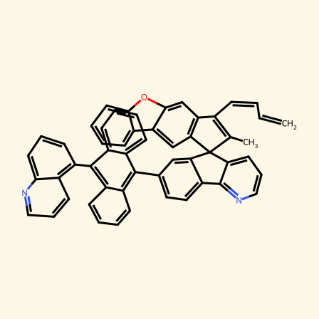 C=C/C=C\C1=C(C)C2(c3cc4c(cc31)oc1ccccc14)c1cc(-c3c4ccccc4c(-c4cccc5ncccc45)c4ccccc34)ccc1-c1ncccc12